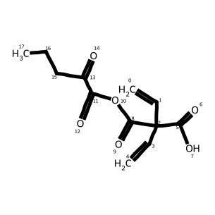 C=CC(C=C)(C(=O)O)C(=O)OC(=O)C(=O)CCC